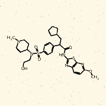 COc1ccc2nc(NC(=O)C(CC3CCCC3)c3ccc(S(=O)(=O)N(CCO)C4CCN(C)CC4)cc3)sc2n1